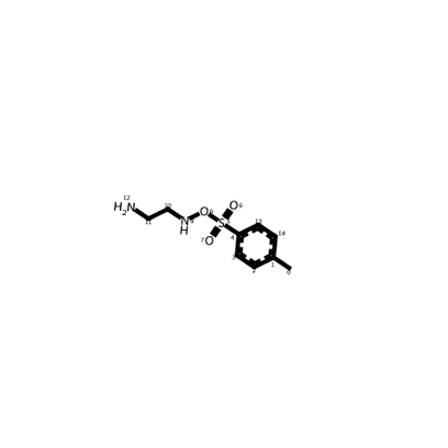 Cc1ccc(S(=O)(=O)ONCCN)cc1